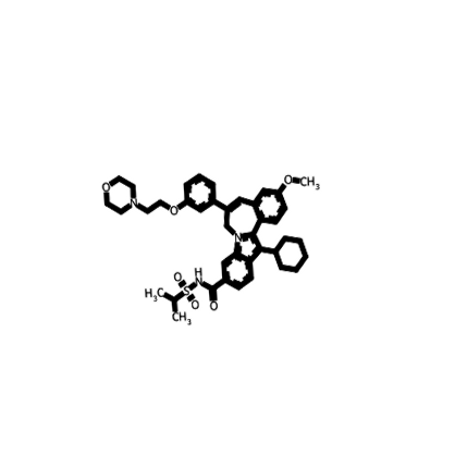 COc1ccc2c(c1)C=C(c1cccc(OCCN3CCOCC3)c1)Cn1c-2c(C2CCCCC2)c2ccc(C(=O)NS(=O)(=O)C(C)C)cc21